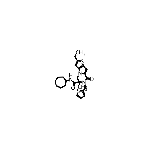 CCc1cc2c(cc3n2CC(C)(C(=O)NC2CCCCCC2)N(Cc2cccs2)C3=O)s1